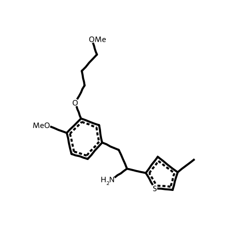 COCCCOc1cc(CC(N)c2cc(C)cs2)ccc1OC